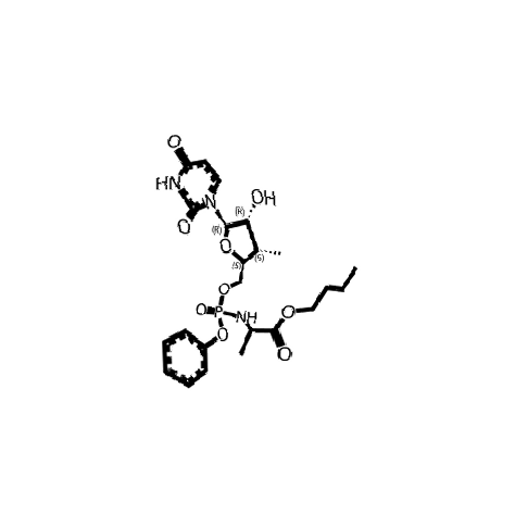 CCCCOC(=O)C(C)NP(=O)(OC[C@H]1O[C@@H](n2ccc(=O)[nH]c2=O)[C@H](O)[C@@H]1C)Oc1ccccc1